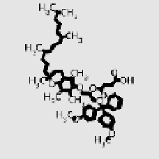 COc1ccc(C(OCC(COc2c(C)c(C)c3c(c2C)CCC(C)(CCCC(C)CCCC(C)CCCC(C)C)O3)OC(=O)CCC(=O)O)(c2ccccc2)c2ccc(OC)cc2)cc1